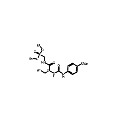 CCOP(=O)(CNC(=O)[C@H](CC(C)C)NC(=O)Nc1ccc(SC)cc1)OCC